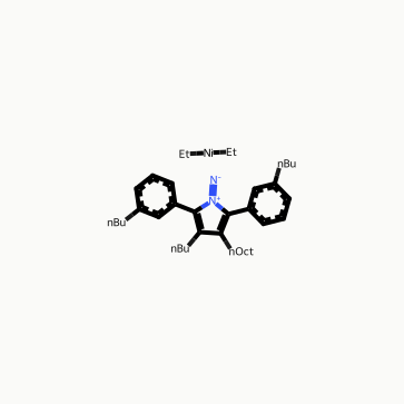 CCCCCCCCC1=C(c2cccc(CCCC)c2)[N+](=[N-])C(c2cccc(CCCC)c2)=C1CCCC.C[CH2][Ni][CH2]C